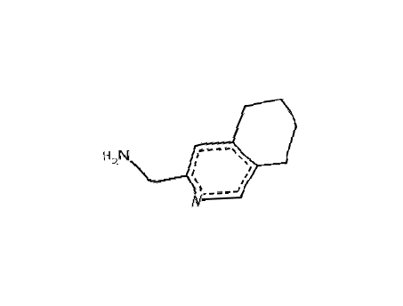 NCc1cc2c(cn1)CCCC2